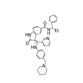 CCC(NC(=O)c1ccc2c(c1)/C(=C(/Nc1ccc(CN3CCCCC3)cc1)c1cccnc1)C(=O)N2)c1ccccc1